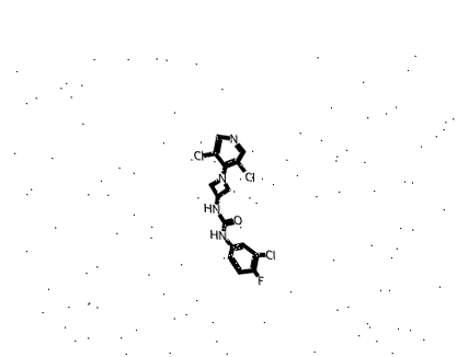 O=C(Nc1ccc(F)c(Cl)c1)NC1CN(c2c(Cl)cncc2Cl)C1